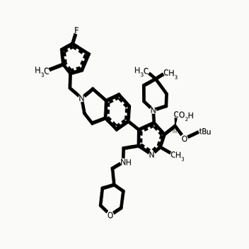 Cc1cc(F)ccc1CN1CCc2cc(-c3c(CNCC4CCOCC4)nc(C)c([C@H](OC(C)(C)C)C(=O)O)c3N3CCC(C)(C)CC3)ccc2C1